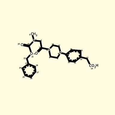 CN(CC(=O)N1CCN(c2ccc(CC(=O)O)cc2)CC1)C(=O)OCc1ccccc1